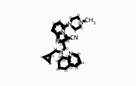 CN1CCN(c2cccc3nc(CN(CC4CC4)[C@H]4CCCc5cccnc54)c(C#N)n23)CC1